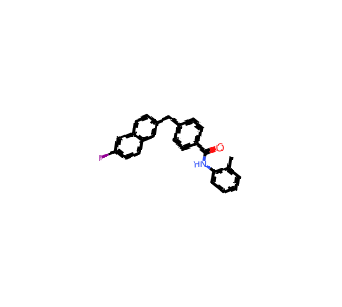 Cc1ccccc1NC(=O)c1ccc(Cc2ccc3cc(I)ccc3c2)cc1